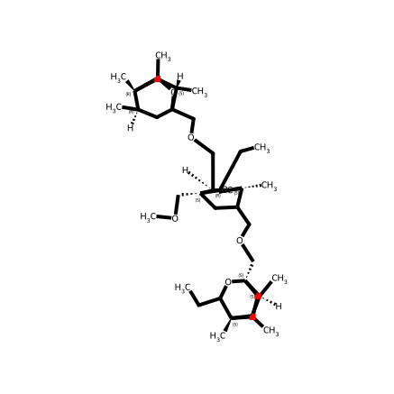 CCC1O[C@@]2(COCC3C[C@]4(COC)OC(CC)[C@@]3(C)C[C@@H]4COCC34C[C@@H](C)[C@@](C)(C[C@@H]3C)C(C)O4)CC(C)[C@]1(C)C[C@@H]2C